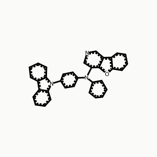 c1ccc(N(c2ccc(-n3c4ccccc4c4ccccc43)cc2)c2cncc3c2oc2ccccc23)cc1